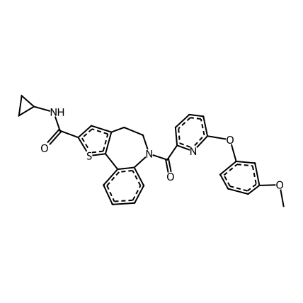 COc1cccc(Oc2cccc(C(=O)N3CCc4cc(C(=O)NC5CC5)sc4-c4ccccc43)n2)c1